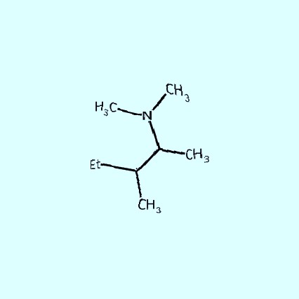 CC[C](C)C(C)N(C)C